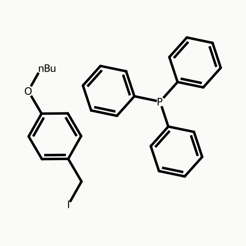 CCCCOc1ccc(CI)cc1.c1ccc(P(c2ccccc2)c2ccccc2)cc1